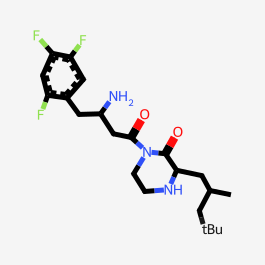 CC(CC1NCCN(C(=O)CC(N)Cc2cc(F)c(F)cc2F)C1=O)CC(C)(C)C